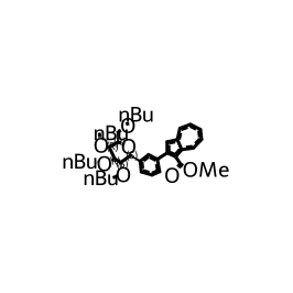 CCCCOC[C@H]1O[C@@H](c2cccc(-c3cc4cccccc-4c3C(=O)OC)c2)[C@H](OCCCC)[C@@H](OCCCC)[C@@H]1OCCCC